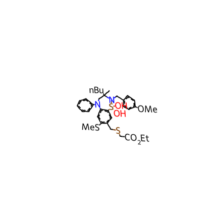 CCCCC1(C)CN(c2ccccc2)c2cc(SC)c(CSCC(=O)OCC)cc2S(O)(O)N1Cc1ccc(OC)cc1